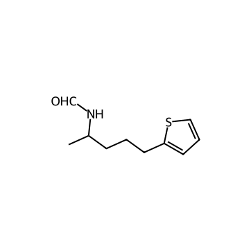 CC(CCCc1cccs1)NC=O